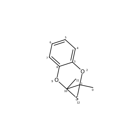 CC12Oc3ccccc3OC1(C)S2